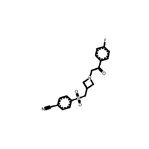 N#Cc1ccc(S(=O)(=O)CC2CN(CC(=O)c3ccc(F)cc3)C2)cc1